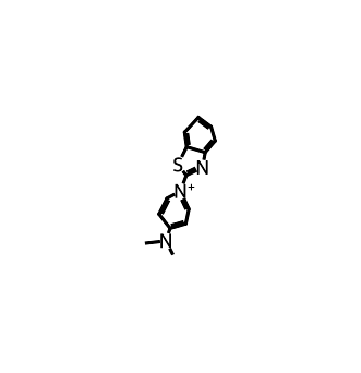 CN(C)c1cc[n+](-c2nc3ccccc3s2)cc1